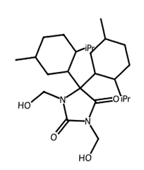 CC1CCC(C(C)C)C(C2(C3CC(C)CCC3C(C)C)C(=O)N(CO)C(=O)N2CO)C1